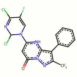 O=c1cc(N2C=C(F)C(Cl)=NC2Cl)[nH]c2c(-c3ccccc3)c(C(F)(F)F)nn12